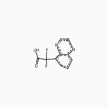 O=C(O)C(F)(F)c1cccc2nccnc12